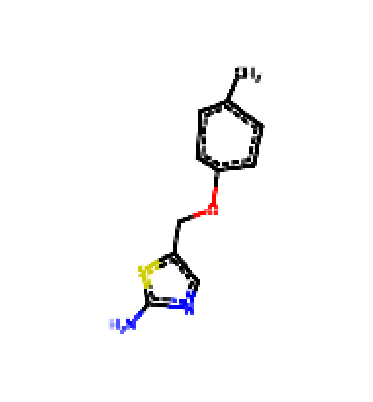 [CH2]c1ccc(OCc2cnc(N)s2)cc1